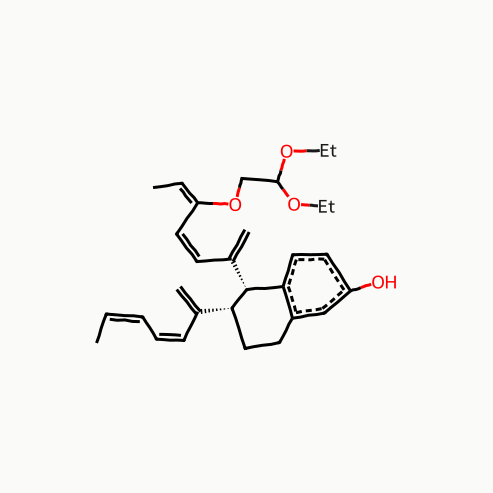 C=C(/C=C\C=C/C)[C@H]1CCc2cc(O)ccc2[C@H]1C(=C)/C=C\C(=C/C)OCC(OCC)OCC